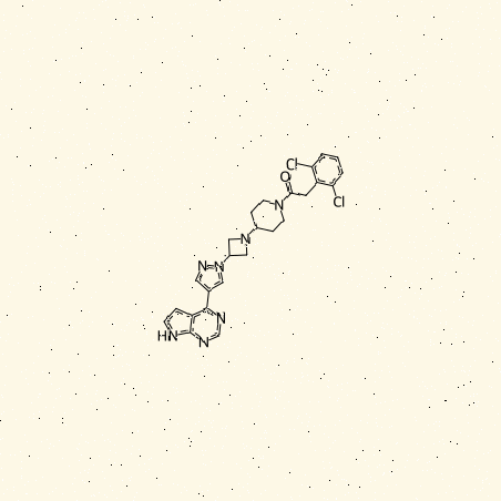 O=C(Cc1c(Cl)cccc1Cl)N1CCC(N2C[C](n3cc(-c4ncnc5[nH]ccc45)cn3)C2)CC1